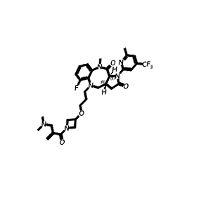 C=C(CN(C)C)C(=O)N1CC(OCCCN2C[C@H]3CC(=O)N(c4cc(C(F)(F)F)cc(C)n4)[C@@H]3C(=O)N(C)c3cccc(F)c32)C1